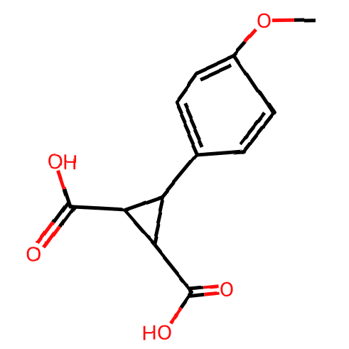 COc1ccc(C2C(C(=O)O)C2C(=O)O)cc1